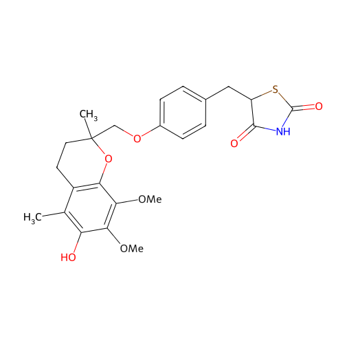 COc1c(O)c(C)c2c(c1OC)OC(C)(COc1ccc(CC3SC(=O)NC3=O)cc1)CC2